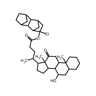 CCC1(OC(=O)CCC(C)C2CCC3C4C(O)CC5CCCCC5(C)C4CC(=O)C23C)CC2CC1C1C3CCC(C3)C21